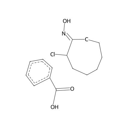 O=C(O)c1ccccc1.ON=C1CCCCCCC1Cl